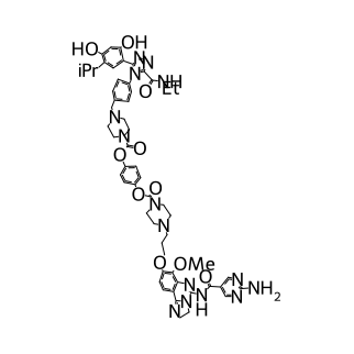 CCNC(=O)c1nnc(-c2cc(C(C)C)c(O)cc2O)n1-c1ccc(CN2CCN(C(=O)Oc3ccc(OC(=O)N4CCN(CCCOc5ccc6c(c5OC)N=C(NC(=O)c5cnc(N)nc5)N5CCN=C65)CC4)cc3)CC2)cc1